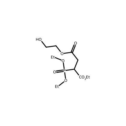 CCOC(=O)C(CC(=O)OCCO)P(=O)(OCC)OCC